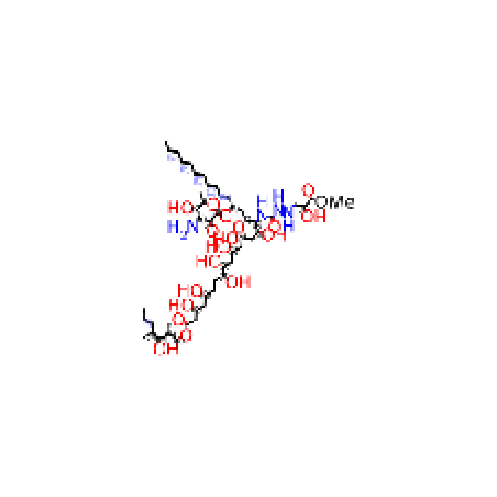 C/C=C/C=C/C=C/C=C/C=C/[C@@H](C[C@@H]1O[C@](O)(C[C@@H](O)C[C@@H](O)[C@H](O)CC[C@@H](O)C[C@@H](O)CC(=O)O[C@@H](C)[C@H](C)[C@H](O)[C@@H](C)/C=C/C)C[C@H](O)[C@H]1NC(=O)NNC[C@@H](O)C(=O)OC)O[C@@H]1O[C@H](C)[C@@H](O)[C@H](N)[C@@H]1O